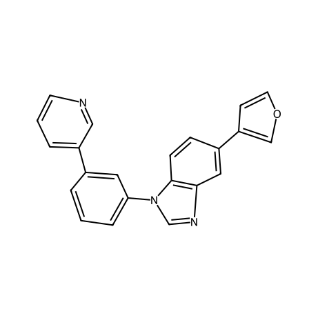 c1cncc(-c2cccc(-n3cnc4cc(-c5ccoc5)ccc43)c2)c1